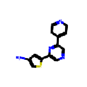 Nc1csc(-c2cncc(C3=CCN=CC3)n2)c1